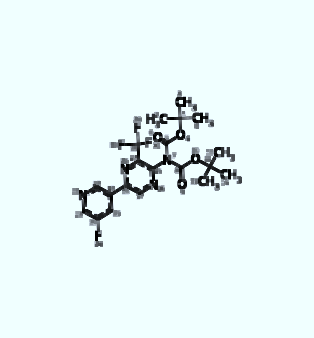 CC(C)(C)OC(=O)N(C(=O)OC(C)(C)C)c1ncc(-c2cncc(F)c2)nc1C(F)(F)F